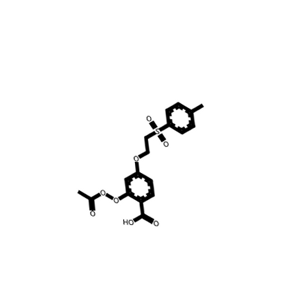 CC(=O)OOc1cc(OCCS(=O)(=O)c2ccc(C)cc2)ccc1C(=O)O